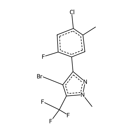 Cc1cc(-c2nn(C)c(C(F)(F)F)c2Br)c(F)cc1Cl